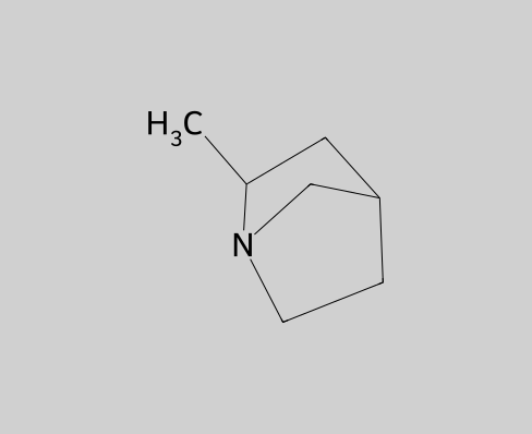 CC1CC2CCN1C2